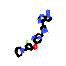 N#CCC(CN1CCC(Oc2cc(F)cc(CN3CCCCC3)c2)CC1)n1cc(-c2ncnc3[nH]ccc23)cn1